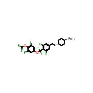 CCCCC[C@H]1CC[C@H](CCc2cc(F)c(C(F)(F)Oc3cc(F)c(OC(F)F)c(F)c3)c(F)c2)CC1